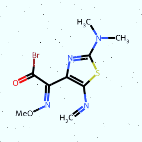 C=Nc1sc(N(C)C)nc1C(=NOC)C(=O)Br